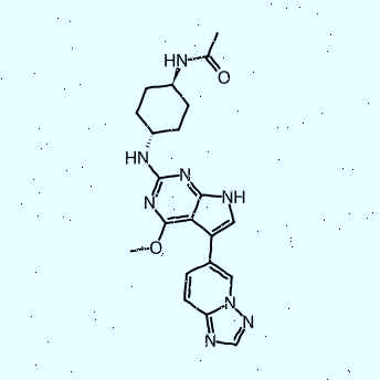 COc1nc(N[C@H]2CC[C@H](NC(C)=O)CC2)nc2[nH]cc(-c3ccc4ncnn4c3)c12